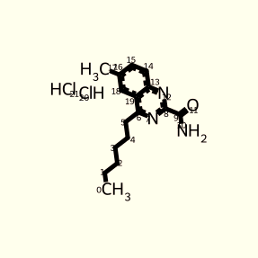 CCCCCCc1nc(C(N)=O)nc2ccc(C)cc12.Cl.Cl